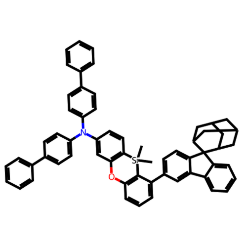 C[Si]1(C)c2ccc(N(c3ccc(-c4ccccc4)cc3)c3ccc(-c4ccccc4)cc3)cc2Oc2cccc(-c3ccc4c(c3)-c3ccccc3C43C4CC5CC(C4)CC3C5)c21